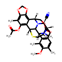 COc1c(C)cc2c(c1C)[C@@H]1C3[C@@H]4SC[C@H](C)C(=O)OC[C@@H](c5c6c(c(C)c(OC(C)=O)c54)OCO6)N3[C@@H](C#N)[C@H](C2)N1C